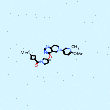 COC1=CC=C(N2CCc3ncnc(O[C@H]4CCN(C(=O)C5CC(OC)C5)C4)c3C2)CN1C